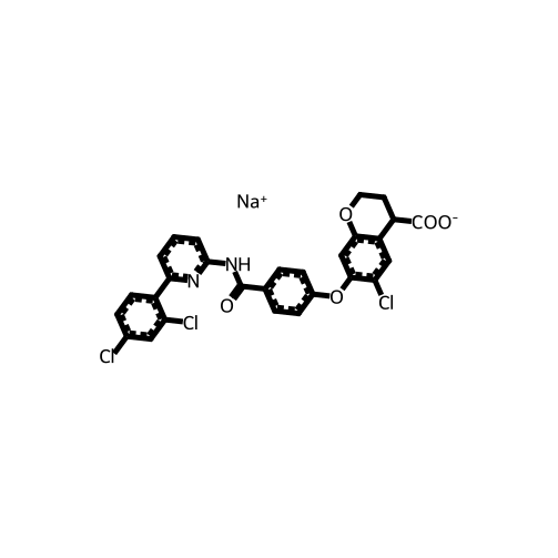 O=C(Nc1cccc(-c2ccc(Cl)cc2Cl)n1)c1ccc(Oc2cc3c(cc2Cl)C(C(=O)[O-])CCO3)cc1.[Na+]